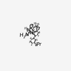 CC(C)c1cccc(-c2ccc3c(c2)C2(CC(C)(C)O3)N=C(N)N(C)C2=O)c1